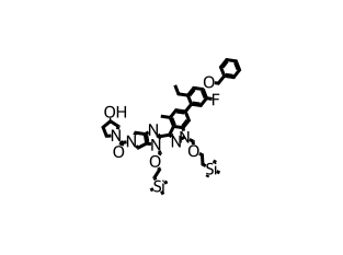 CCc1cc(OCc2ccccc2)c(F)cc1-c1cc(C)c2c(-c3nc4c(n3COCC[Si](C)(C)C)CN(C(=O)N3CC[C@H](O)C3)C4)nn(COCC[Si](C)(C)C)c2c1